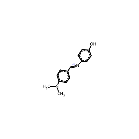 CN(C)c1ccc(/C=N/c2ccc(O)cc2)cc1